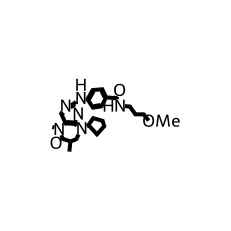 COCCCNC(=O)c1ccc(Nc2ncc3c(n2)N(C2CCCC2)CC(C)C(=O)N3C)cc1